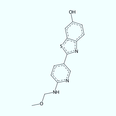 COCNc1ccc(-c2nc3ccc(O)cc3s2)cn1